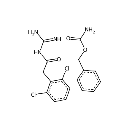 N=C(N)NC(=O)Cc1c(Cl)cccc1Cl.NC(=O)OCc1ccccc1